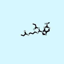 CCC(=O)OCCCOC(OC(=O)CC)n1cnc2cnc(NC)nc21